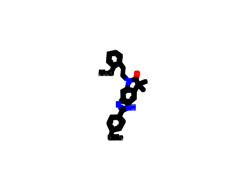 COc1ccc(-c2nc3cc4c(cc3[nH]2)C(C)(C)C(=O)N4CCc2ccccc2OC)cc1